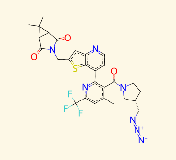 Cc1cc(C(F)(F)F)nc(-c2ccnc3cc(CN4C(=O)C5C(C4=O)C5(C)C)sc23)c1C(=O)N1CC[C@H](CN=[N+]=[N-])C1